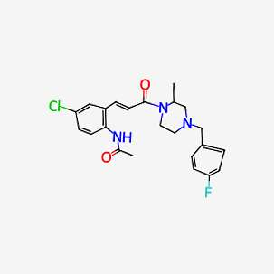 CC(=O)Nc1ccc(Cl)cc1C=CC(=O)N1CCN(Cc2ccc(F)cc2)CC1C